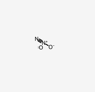 N#[N+][O-].[O]